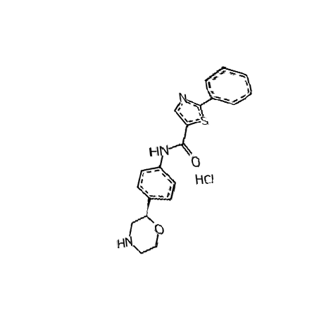 Cl.O=C(Nc1ccc([C@@H]2CNCCO2)cc1)c1cnc(-c2ccccc2)s1